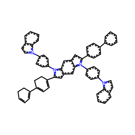 C1=CCCC(C2=CC=C(c3cc4cc5c(cc(-c6ccc(-c7ccccc7)cc6)n5-c5ccc(-n6ccc7ccccc76)cc5)cc4n3-c3ccc(-n4ccc5ccccc54)cc3)CC2)=C1